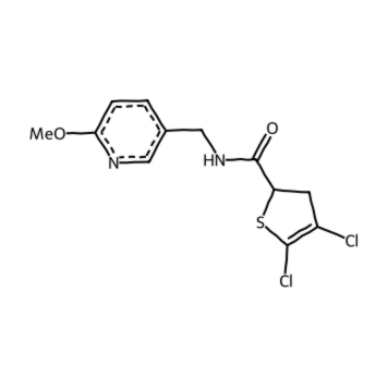 COc1ccc(CNC(=O)C2CC(Cl)=C(Cl)S2)cn1